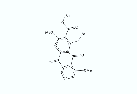 COc1cccc2c1C(=O)c1c(cc(OC)c(C(=O)OC(C)(C)C)c1CBr)C2=O